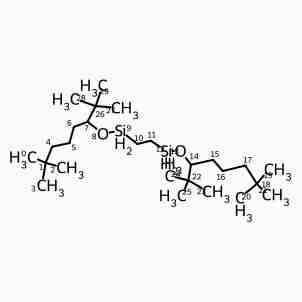 CC(C)(C)CCCC(O[SiH2]CC[SiH2]OC(CCCC(C)(C)C)C(C)(C)C)C(C)(C)C